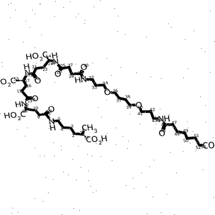 C[C@@H](CCCCNC(=O)CC[C@H](NC(=O)CC[C@H](NC(=O)CC[C@H](NC(=O)CCC(=O)NCCCOCCCCOCCCNC(=O)CCCCCCC(=O)O)C(=O)O)C(=O)O)C(=O)O)C(=O)O